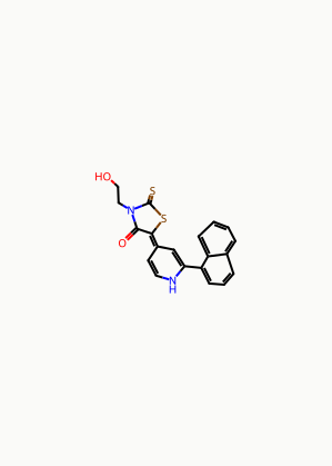 O=C1C(=C2C=CNC(c3cccc4ccccc34)=C2)SC(=S)N1CCO